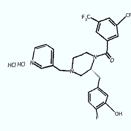 Cl.Cl.O=C(c1cc(C(F)(F)F)cc(C(F)(F)F)c1)N1CCN(Cc2cccnc2)C[C@H]1Cc1ccc(F)c(O)c1